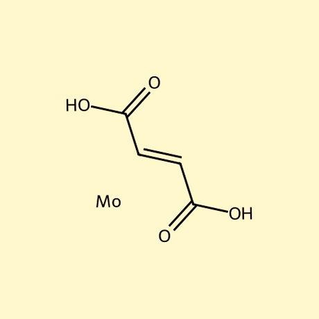 O=C(O)C=CC(=O)O.[Mo]